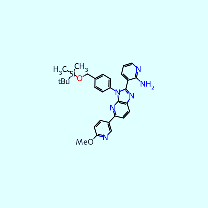 COc1ccc(-c2ccc3nc(-c4cccnc4N)n(-c4ccc(CO[Si](C)(C)C(C)(C)C)cc4)c3n2)cn1